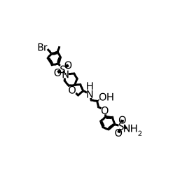 Cc1cc(S(=O)(=O)N2CCC3(CC2)CC(NC[C@H](O)COc2cccc(S(N)(=O)=O)c2)CO3)ccc1Br